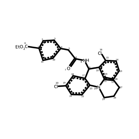 CCOC(=O)c1ccc(CC(=O)NC(c2ccccc2Cl)c2cc(Cl)ccc2N2CCCCC2)cc1